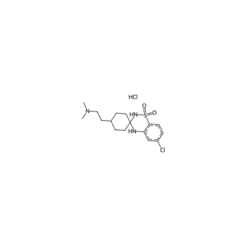 CN(C)CCC1CCC2(CC1)Nc1cc(Cl)ccc1S(=O)(=O)N2.Cl